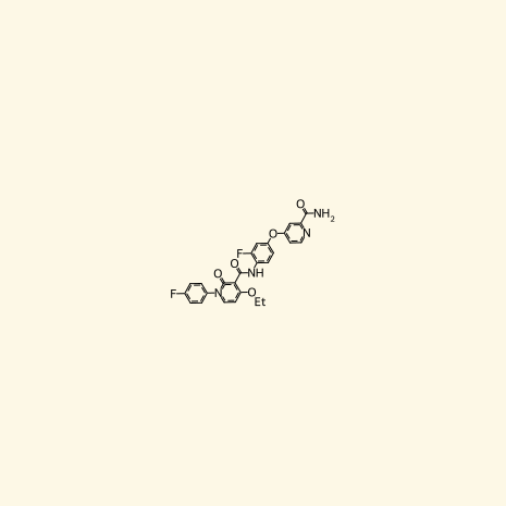 CCOc1ccn(-c2ccc(F)cc2)c(=O)c1C(=O)Nc1ccc(Oc2ccnc(C(N)=O)c2)cc1F